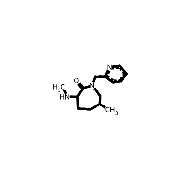 CNC1CCC(C)CN(Cc2ccccn2)C1=O